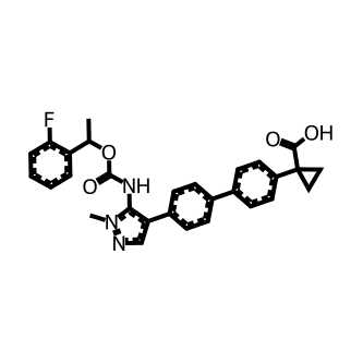 CC(OC(=O)Nc1c(-c2ccc(-c3ccc(C4(C(=O)O)CC4)cc3)cc2)cnn1C)c1ccccc1F